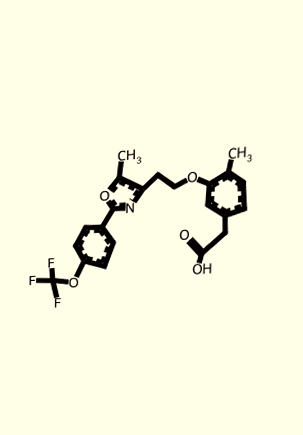 Cc1ccc(CC(=O)O)cc1OCCc1nc(-c2ccc(OC(F)(F)F)cc2)oc1C